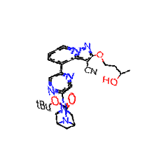 CC(O)CCOc1nn2cccc(-c3cnc(N4CC5CC(C4)N5C(=O)OC(C)(C)C)cn3)c2c1C#N